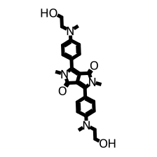 CN1C(=O)C2=C(c3ccc(N(C)CCO)cc3)N(C)C(=O)C2=C1c1ccc(N(C)CCO)cc1